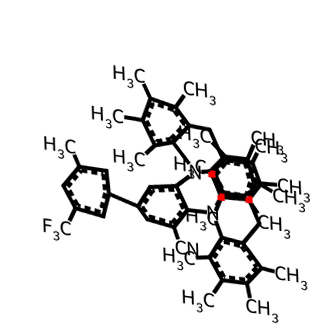 Cc1cc(-c2cc(C#N)c(N3c4c(C)c(C)c(C)c(C)c4Cc4c(C)c(C)c(C)c(C)c43)c(N3c4c(C)c(C)c(C)c(C)c4Cc4c(C)c(C)c(C)c(C)c43)c2)cc(C(F)(F)F)c1